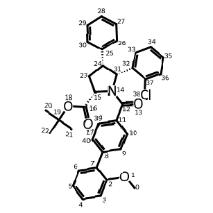 COc1ccccc1-c1ccc(C(=O)N2[C@H](C(=O)OC(C)(C)C)C[C@H](c3ccccc3)[C@@H]2c2ccccc2Cl)cc1